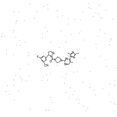 Cc1nc(C)n(-c2nc(N3CCN(C(=O)N4N=CCC4c4cc(F)cc(C#N)c4)CC3)ncc2C)n1